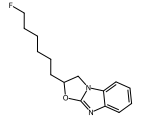 FCCCCCCC1Cn2c(nc3ccccc32)O1